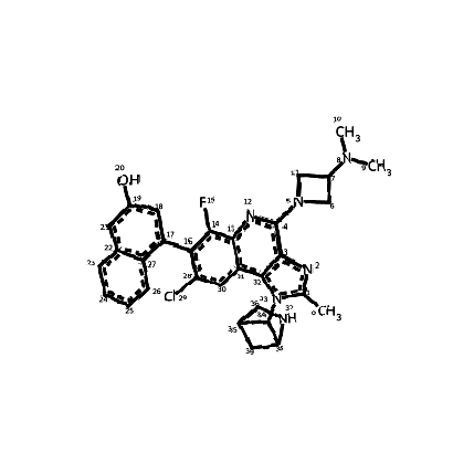 Cc1nc2c(N3CC(N(C)C)C3)nc3c(F)c(-c4cc(O)cc5ccccc45)c(Cl)cc3c2n1C1C2CNC1C2